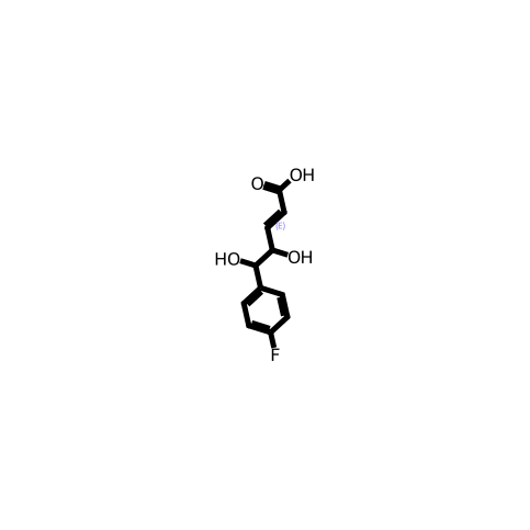 O=C(O)/C=C/C(O)C(O)c1ccc(F)cc1